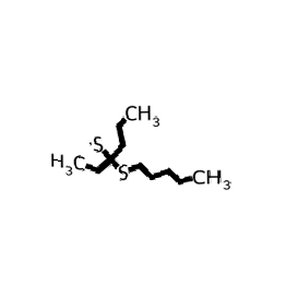 CCCCCSC([S])(CC)CCC